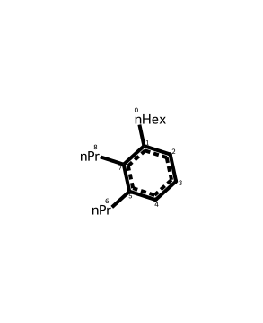 CCCCCCc1cccc(CCC)c1CCC